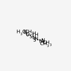 Cc1ncn(CCCNC(=S)NCCSCc2ccc(CN(C)C)o2)c1C